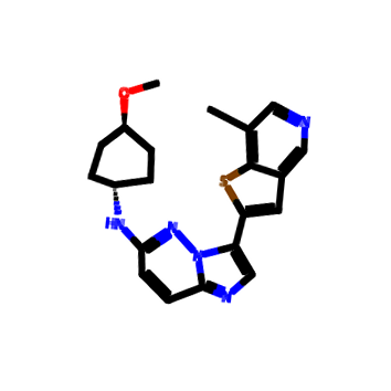 CO[C@H]1CC[C@H](Nc2ccc3ncc(-c4cc5cncc(C)c5s4)n3n2)CC1